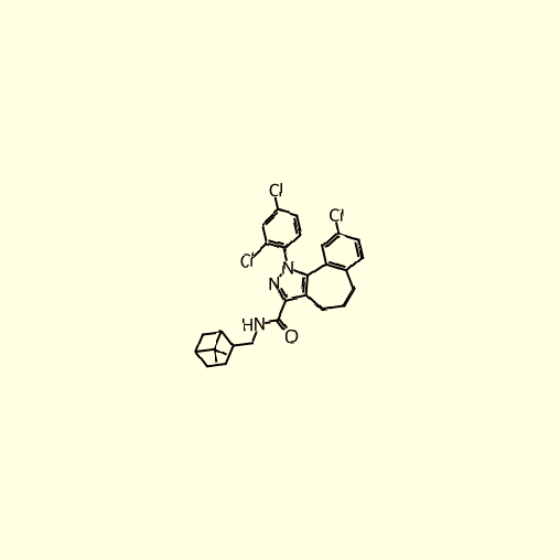 CC1(C)C2CCC(CNC(=O)c3nn(-c4ccc(Cl)cc4Cl)c4c3CCCc3ccc(Cl)cc3-4)C1C2